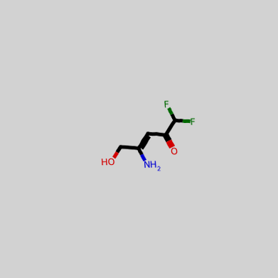 NC(=CC(=O)C(F)F)CO